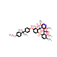 COc1ccc(C(C)(C)c2ccc(Oc3ccc(S(=O)(=O)c4ccc(C)cc4C(N=O)(c4ccncc4)P(=O)(OC)OC)c(C(O)(c4ccncc4)P(=O)(OC)OC)c3)cc2)cc1